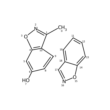 Cc1noc2cc(O)ccc12.c1ccc2oncc2c1